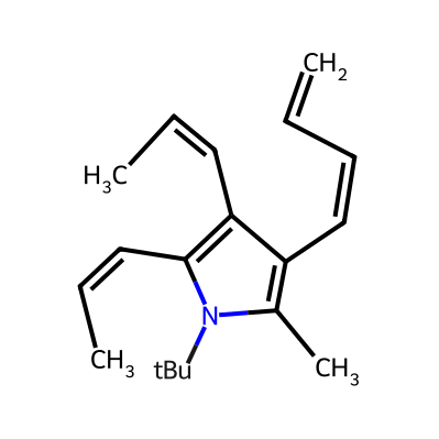 C=C/C=C\c1c(/C=C\C)c(/C=C\C)n(C(C)(C)C)c1C